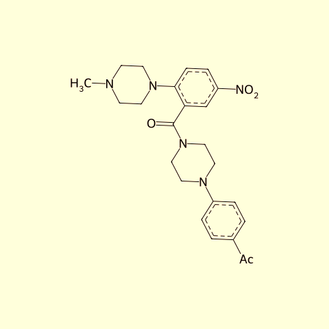 CC(=O)c1ccc(N2CCN(C(=O)c3cc([N+](=O)[O-])ccc3N3CCN(C)CC3)CC2)cc1